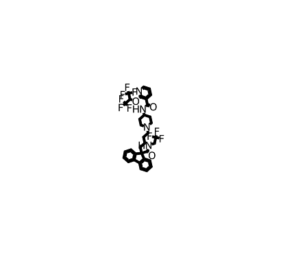 O=C(NC1CCN(CCCCC2(C(=O)NCC(F)(F)F)c3ccccc3-c3ccccc32)CC1)c1cccnc1OC(C(F)(F)F)C(F)(F)F